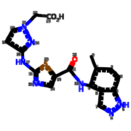 Cc1ccc2[nH]ncc2c1NC(=O)c1cnc(Nc2ccn(CC(=O)O)n2)s1